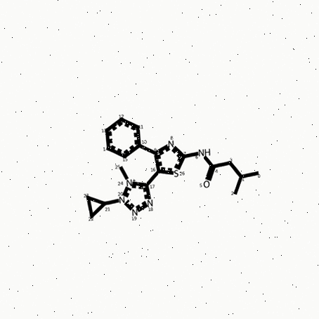 CC(C)CC(=O)Nc1nc(-c2ccccc2)c(-c2nnn(C3CC3)[n+]2C)s1